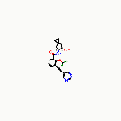 O=C(N[C@H]1CC2(CC2)C[C@@H]1O)c1cccc(C#Cc2cncnc2)c1OC(F)F